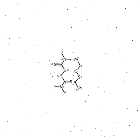 CC(C)CSSCC(C)C.CN(C)C(=S)SSC(=S)N(C)C